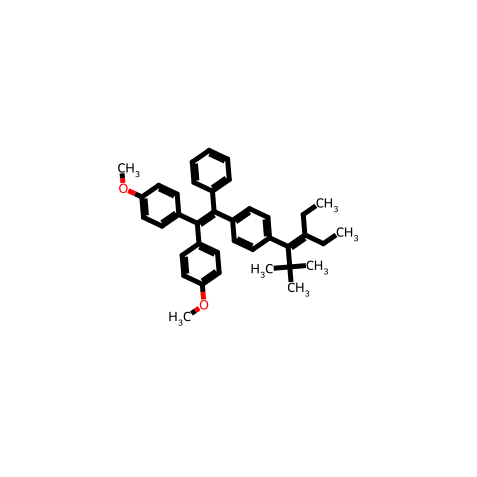 CCC(CC)=C(c1ccc(C(=C(c2ccc(OC)cc2)c2ccc(OC)cc2)c2ccccc2)cc1)C(C)(C)C